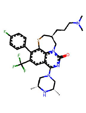 C[C@@H]1CN(c2nc(=O)n3c4c(c(-c5ccc(F)cc5)c(C(F)(F)F)cc24)SC[C@@H](CCCN(C)C)C3)C[C@H](C)N1